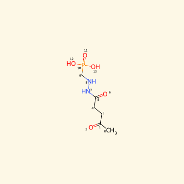 CC(=O)CCC(=O)NNCP(=O)(O)O